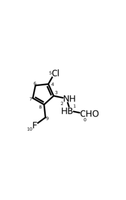 O=CBNC1=C(Cl)CC=C1CF